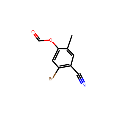 Cc1cc(C#N)c(Br)cc1OC=O